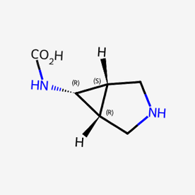 O=C(O)N[C@@H]1[C@@H]2CNC[C@@H]21